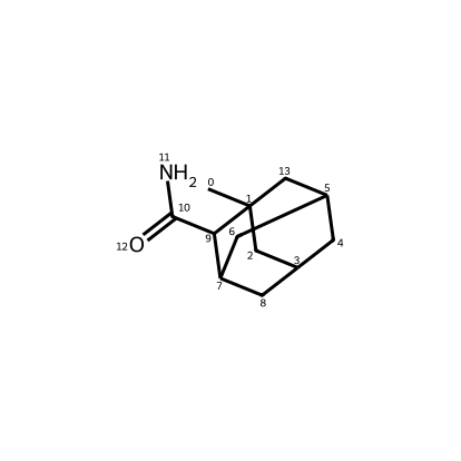 CC12CC3CC(CC(C3)C1C(N)=O)C2